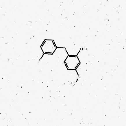 O=Cc1cc(SC(F)(F)F)ccc1Sc1cccc(F)c1